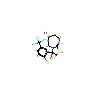 Br.OC1(c2cc(C(F)(F)F)ccc2Cl)CS/C2=N/CCCCCN21